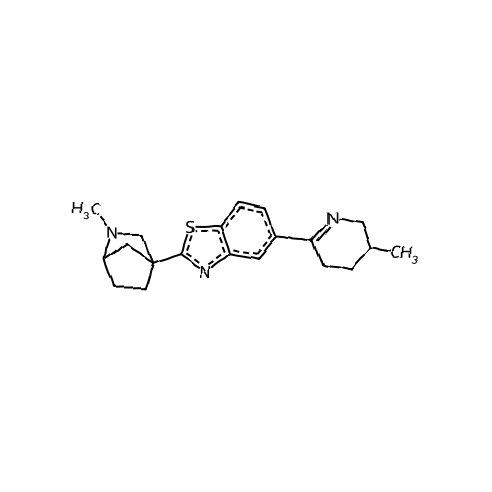 CC1CCC(c2ccc3sc(C45CCC(C4)N(C)C5)nc3c2)=NC1